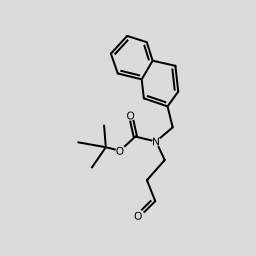 CC(C)(C)OC(=O)N(CCC=O)Cc1ccc2ccccc2c1